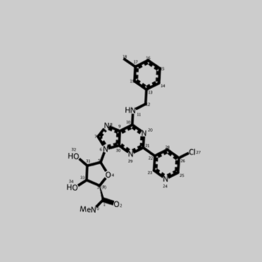 CNC(=O)[C@@H]1OC(n2cnc3c(NCc4cccc(C)c4)nc(-c4cncc(Cl)c4)nc32)C(O)C1O